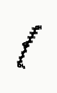 CCCCCCCCCCCCCCCCO.[Ca]